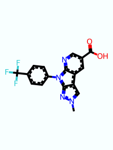 Cn1cc2c3cc(C(=O)O)cnc3n(-c3ccc(C(F)(F)F)cc3)c2n1